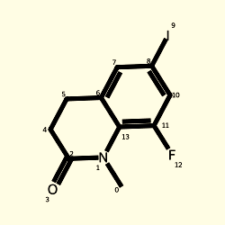 CN1C(=O)CCc2cc(I)cc(F)c21